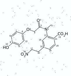 CN(C(=O)COc1ccc(O)cc1)c1cc(CC[N+](=O)[O-])ccc1C(=O)O